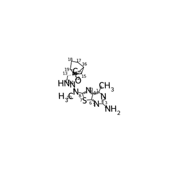 Cc1nc(N)nc2sc(N(C)N3NC[C@]4(CC5CCC4CC5)O3)nc12